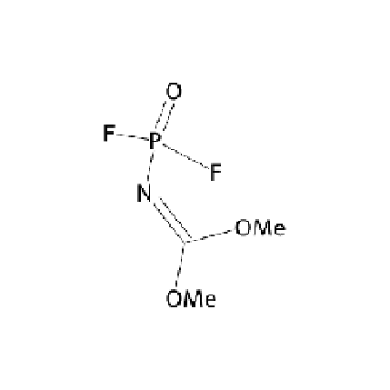 COC(=NP(=O)(F)F)OC